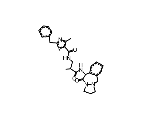 Cc1nc(Cc2ccccc2)sc1C(=O)NCC(C)C(=O)N[C@@H]1C(=O)N2CCCN2Cc2ccccc21